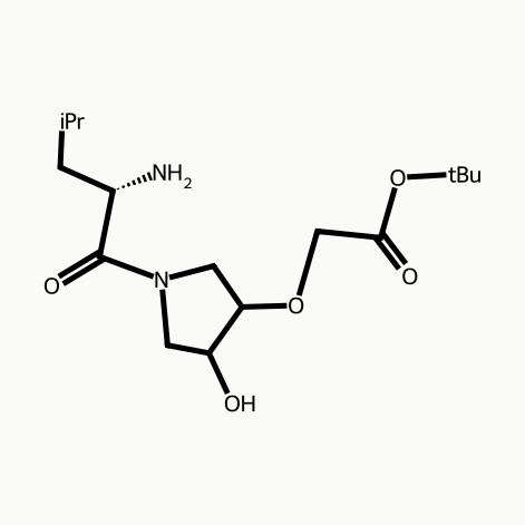 CC(C)C[C@H](N)C(=O)N1CC(O)C(OCC(=O)OC(C)(C)C)C1